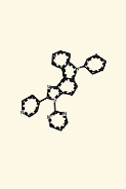 c1ccc(-n2c3ccccc3c3c4nc(-c5ccncc5)n(-c5ncccn5)c4ccc32)cc1